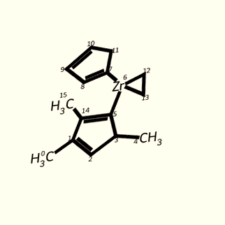 CC1=CC(C)[C]([Zr]2([C]3=CC=CC3)[CH2][CH2]2)=C1C